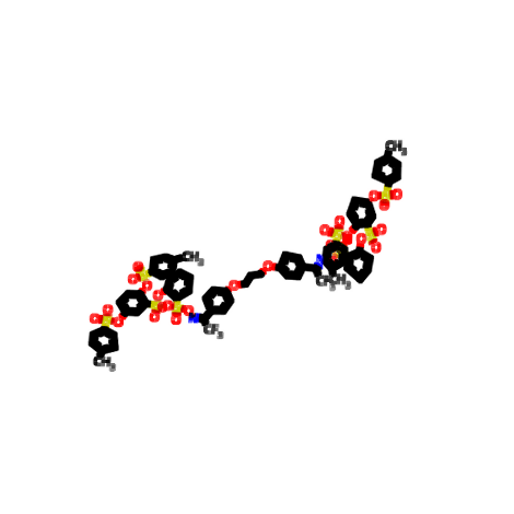 Cc1ccc(S(=O)(=O)Oc2ccc(OS(=O)(=O)c3ccc(C)cc3)c(S(=O)(=O)Oc3ccccc3S(=O)(=O)ON=C(c3ccc(OCCCOc4ccc(C(=NOS(=O)(=O)c5ccccc5OS(=O)(=O)c5cc(OS(=O)(=O)c6ccc(C)cc6)ccc5OS(=O)(=O)c5ccc(C)cc5)C(F)(F)F)cc4)cc3)C(F)(F)F)c2)cc1